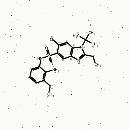 CCc1cccc(NS(=O)(=O)c2cc3nc(CC)n(C(C)(C)C)c3cc2Cl)c1N